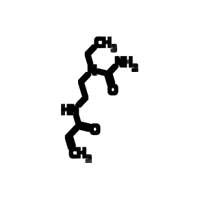 C=CC(=O)NCCN(CC)C(N)=O